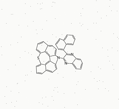 c1ccc2c(-c3nc4ccccc4nc3-n3c4ccc5cccc6sc7cccc8ccc3c(c87)c4c56)cccc2c1